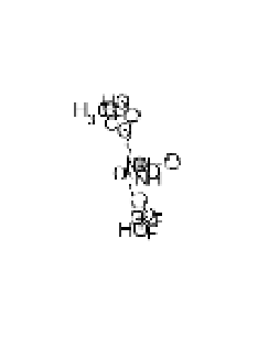 COC(=O)c1c(O)cccc1OCCCCNC(=O)[C@H](Cc1ccc(OP(=O)(O)C(F)F)cc1)NC(=O)OCc1ccccc1